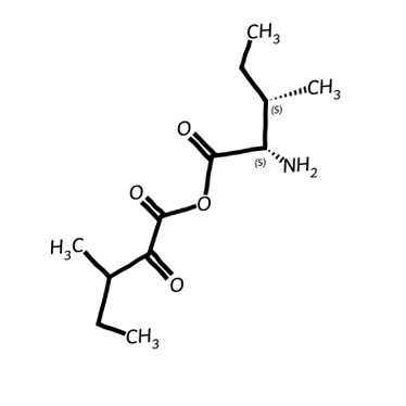 CCC(C)C(=O)C(=O)OC(=O)[C@@H](N)[C@@H](C)CC